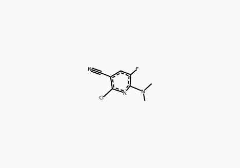 CN(C)c1nc(Cl)c(C#N)cc1F